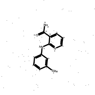 CSc1cccc(Nc2ncccc2C(N)=O)c1